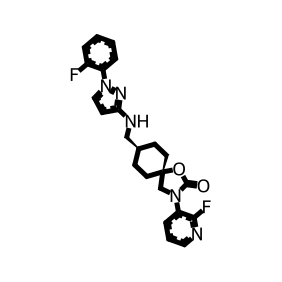 O=C1O[C@]2(CC[C@H](CNc3ccn(-c4ccccc4F)n3)CC2)CN1c1cccnc1F